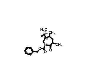 CC1CC(C)[C@@]2(C[C@@H]2C)CN(C(=O)OCc2ccccc2)C1=O